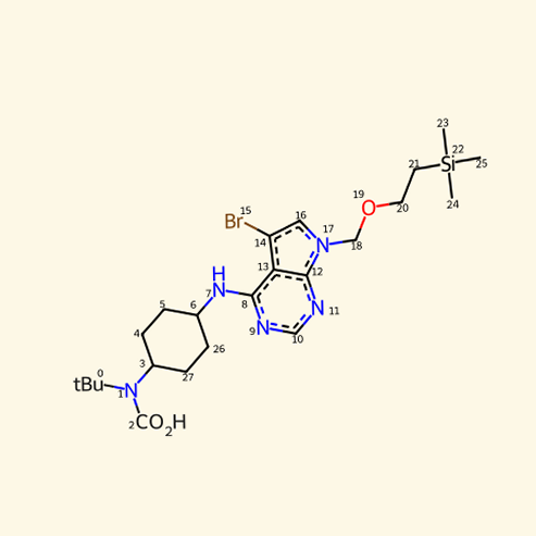 CC(C)(C)N(C(=O)O)C1CCC(Nc2ncnc3c2c(Br)cn3COCC[Si](C)(C)C)CC1